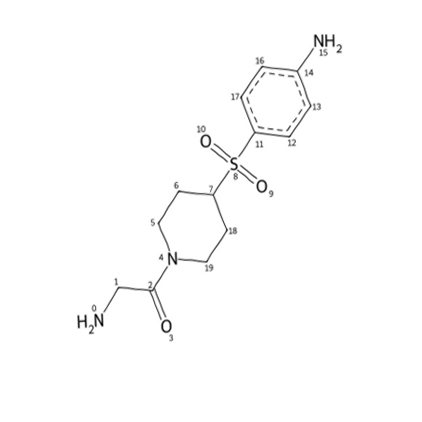 NCC(=O)N1CCC(S(=O)(=O)c2ccc(N)cc2)CC1